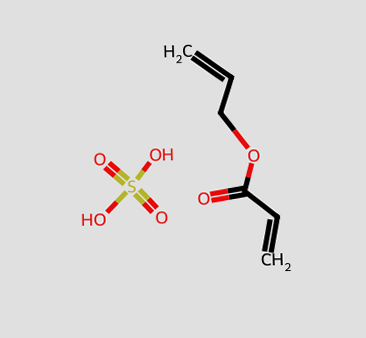 C=CCOC(=O)C=C.O=S(=O)(O)O